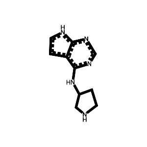 c1nc(NC2CCNC2)c2cc[nH]c2n1